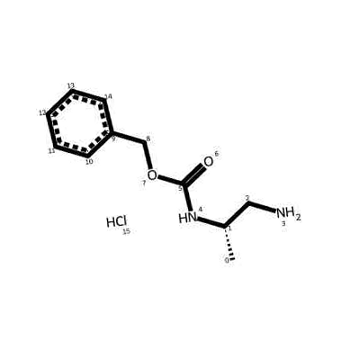 C[C@@H](CN)NC(=O)OCc1ccccc1.Cl